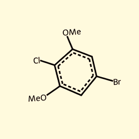 COc1cc(Br)cc(OC)c1Cl